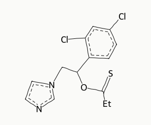 CCC(=S)OC(Cn1ccnc1)c1ccc(Cl)cc1Cl